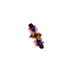 CC(=O)Oc1c2c(c(OC(C)=O)c3c1SC(=C1C(=O)n4c(=O)c5ccccc5c(=O)n4C1=O)S3)SC(=C1C(=O)n3c(=O)c4ccccc4c(=O)n3C1=O)S2